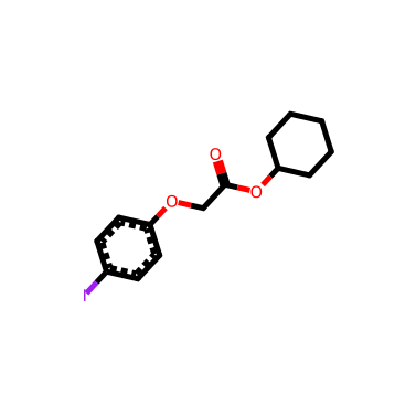 O=C(COc1ccc(I)cc1)OC1CCCCC1